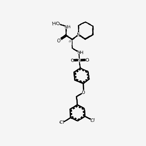 O=C(NO)[C@H](CNS(=O)(=O)c1ccc(OCc2cc(Cl)cc(Cl)c2)cc1)N1CCCCC1